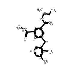 C=C(N[C@H](C)CC)c1cc(Cc2cncc(N)c2C)nc(C(=O)NC)c1